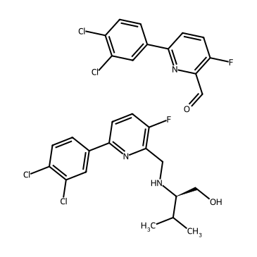 CC(C)[C@H](CO)NCc1nc(-c2ccc(Cl)c(Cl)c2)ccc1F.O=Cc1nc(-c2ccc(Cl)c(Cl)c2)ccc1F